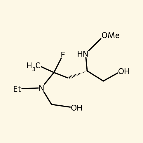 CCN(CO)C(C)(F)C[C@@H](CO)NOC